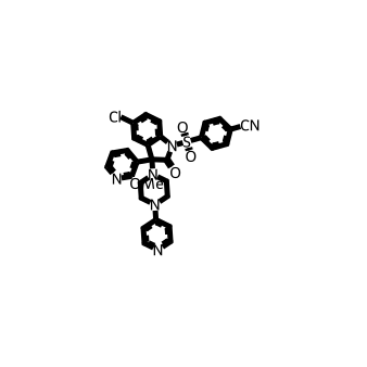 COc1ncccc1C1(N2CCN(c3ccncc3)CC2)C(=O)N(S(=O)(=O)c2ccc(C#N)cc2)c2ccc(Cl)cc21